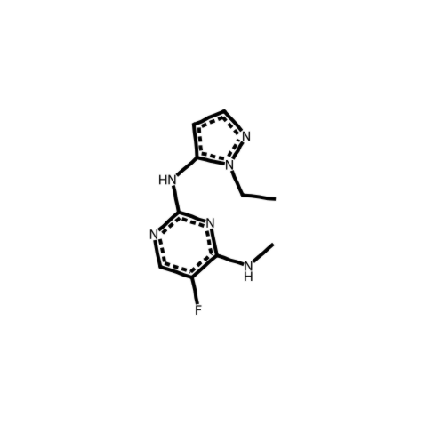 CCn1nccc1Nc1ncc(F)c(NC)n1